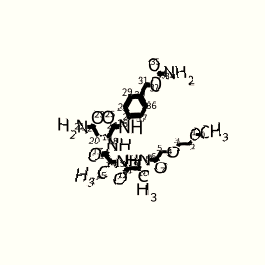 COCCOCC(=O)N[C@H](C)C(=O)N[C@H](C)C(=O)N[C@H](CC(N)=O)C(=O)Nc1ccc(COC(N)=O)cc1